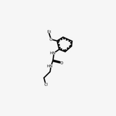 CCOc1ccccc1NC(=O)NCCCl